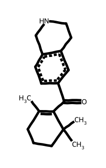 CC1=C(C(=O)c2ccc3c(c2)CCNC3)C(C)(C)CCC1